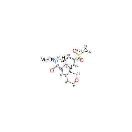 CON(C)C(=O)C(=CC1CCOCC1)c1ccc(S(=O)(=O)C2CC2)cc1